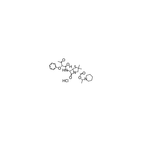 CC(=O)C(Oc1ccccc1)C(=O)N[C@@H]1C(=O)N2[C@@H]1SC(C)(C)[C@@H]2C(=O)OC(C)N1CCCCC1.Cl